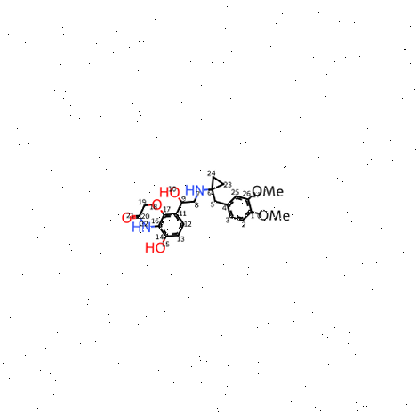 COc1ccc(CC2(NCC(O)c3ccc(O)c4c3OCC(=O)N4)CC2)cc1OC